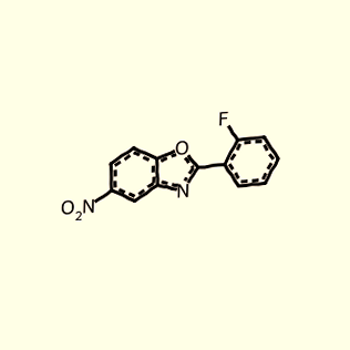 O=[N+]([O-])c1ccc2oc(-c3ccccc3F)nc2c1